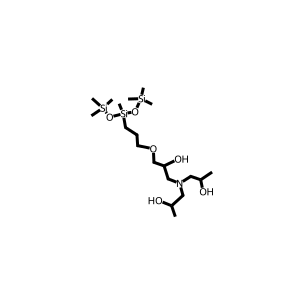 CC(O)CN(CC(C)O)CC(O)COCCC[Si](C)(O[Si](C)(C)C)O[Si](C)(C)C